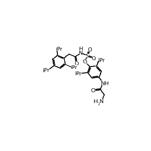 CC(C)c1cc(C(C)C)c(CC(=O)NS(=O)(=O)Oc2c(C(C)C)cc(NC(=O)CN)cc2C(C)C)c(C(C)C)c1